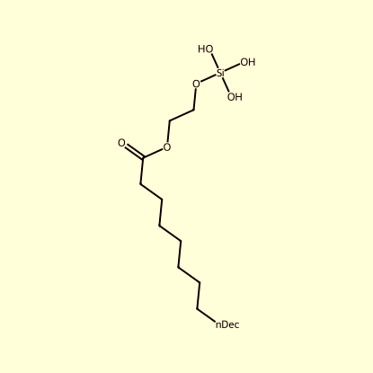 CCCCCCCCCCCCCCCCCC(=O)OCCO[Si](O)(O)O